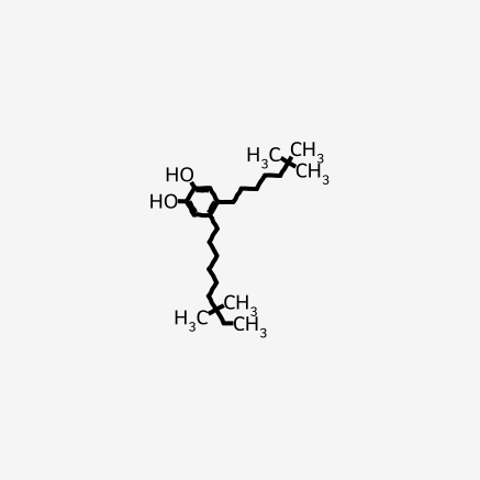 CCC(C)(C)CCCCCCc1cc(O)c(O)cc1CCCCCC(C)(C)C